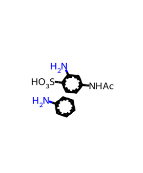 CC(=O)Nc1ccc(S(=O)(=O)O)c(N)c1.Nc1ccccc1